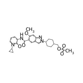 COc1cc2nn(C3CCC(COS(C)(=O)=O)CC3)cc2cc1C(=O)Nc1cccn(C2CC2)c1=O